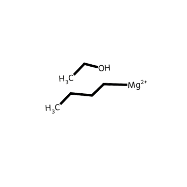 CCC[CH2][Mg+2].CCO